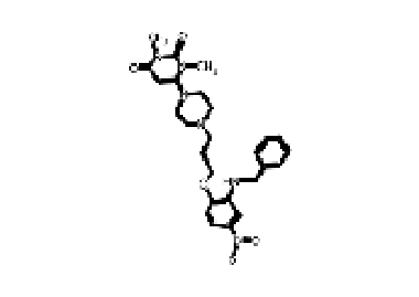 Cn1c(N2CCN(CCCOc3ccc([N+](=O)[O-])cc3NCc3ccccc3)CC2)cc(=O)n(C)c1=O